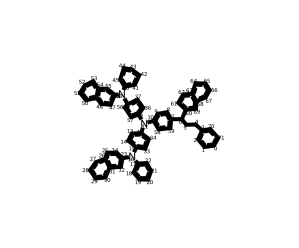 c1ccc(CCC(c2ccc(N(c3ccc(N(c4ccccc4)c4ccc5ccccc5c4)cc3)c3ccc(N(c4ccccc4)c4ccc5ccccc5c4)cc3)cc2)c2ccc3ccccc3c2)cc1